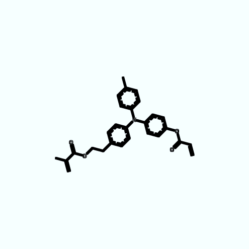 C=CC(=O)Oc1ccc(N(c2ccc(C)cc2)c2ccc(CCOC(=O)C(=C)C)cc2)cc1